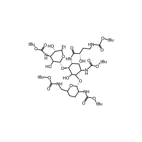 CCC1O[C@H](O[C@@H]2C(O)C(O[C@H]3OC(CNC(=O)OC(C)(C)C)CCC3NC(=O)OC(C)(C)C)C(NC(=O)OC(C)(C)C)C[C@H]2NC(=O)[C@@H](O)CCNC(=O)OC(C)(C)C)C(O)[C@@H](NC(=O)OC(C)(C)C)[C@@H]1O